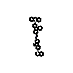 CC1(C)c2cc(/C=C/c3ccc4c(c3)C3(CCCCC3)c3cc(N5c6ccccc6Cc6ccccc65)ccc3-4)ccc2-c2ccc(N3CCCc4ccccc43)cc21